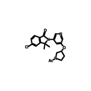 CC(=O)N1CC[C@H](Oc2cncc(N3C(=O)c4ccc(Cl)cc4C3(C)C)c2)C1